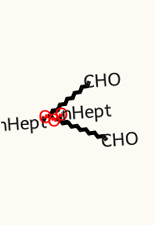 CCCCCCCOC(C=CCCCCCCCCC=O)OC(C=CCCCCCCCCC=O)OCCCCCCC